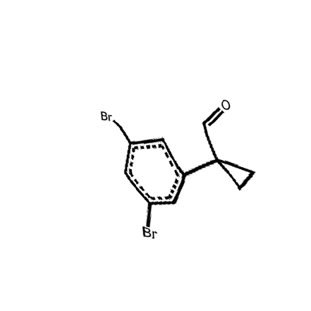 O=CC1(c2cc(Br)cc(Br)c2)CC1